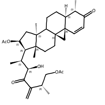 C=C(C(=O)[C@H](O)[C@@H](C)[C@H]1[C@@H](OC(C)=O)C[C@@]2(C)C3CC[C@H]4[C@H](C)C(=O)C=C[C@@]45C[C@@]35CC[C@]12C)[C@@H](C)COC(C)=O